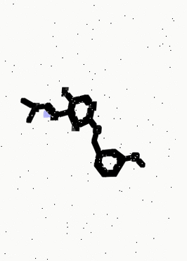 COc1cccc(COc2ncc(F)c(/N=C/N(C)C)n2)c1